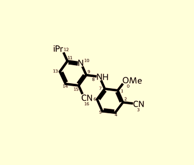 COc1c(C#N)cccc1Nc1nc(C(C)C)ccc1C#N